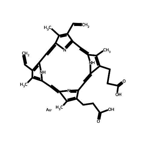 C=CC1=C(C)c2cc3[nH]c(cc4nc(cc5[nH]c(cc1n2)c(C)c5CCC(=O)O)C(CCC(=O)O)=C4C)c(C)c3C=C.[Au]